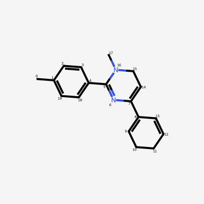 Cc1ccc(C2=NC(C3=CCCC=C3)=CCN2C)cc1